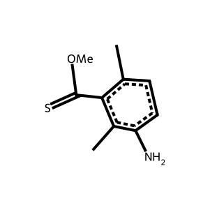 COC(=S)c1c(C)ccc(N)c1C